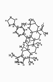 CC1(C)CCC2(C(=O)O)CCC3(C)C(=C(c4ccc(N5CCCC5)nc4)CC4C5(C)Cc6c(n[nH]c6N)C(C)(C)C5CCC43C)C2C1